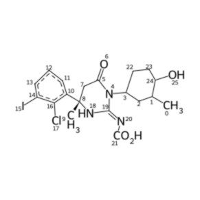 CC1CC(N2C(=O)C[C@@](C)(c3cccc(I)c3Cl)N/C2=N\C(=O)O)CCC1O